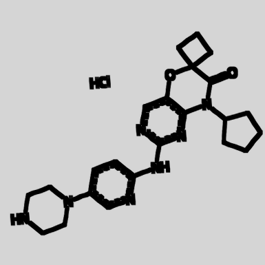 Cl.O=C1N(C2CCCC2)c2nc(Nc3ccc(N4CCNCC4)cn3)ncc2OC12CCC2